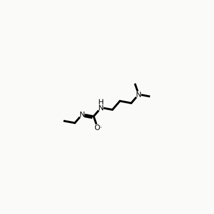 CC/N=C(\[O])NCCCN(C)C